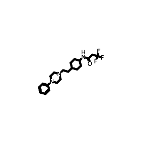 O=C(CC(F)(F)F)NC1CCC(CCN2CCN(c3ccccc3)CC2)CC1